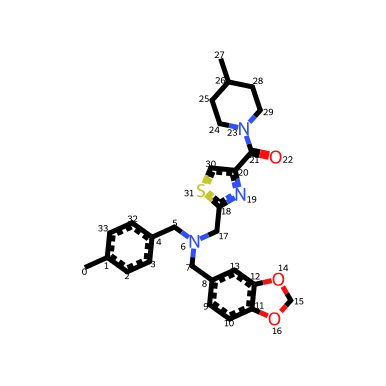 Cc1ccc(CN(Cc2ccc3c(c2)OCO3)Cc2nc(C(=O)N3CCC(C)CC3)cs2)cc1